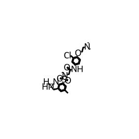 Cc1cc(C=N)c(N)c(S(=O)(=O)N(C)CC(=O)Nc2ccc(OCCN(C)C)c(Cl)c2)c1